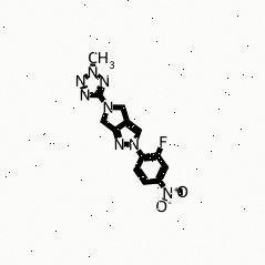 Cn1nnc(N2Cc3cn(-c4ccc([N+](=O)[O-])cc4F)nc3C2)n1